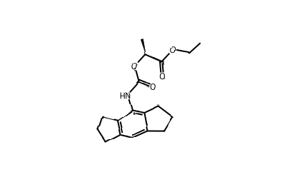 CCOC(=O)[C@H](C)OC(=O)Nc1c2c(cc3c1CCC3)CCC2